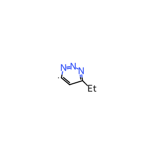 CCc1c[c]nnn1